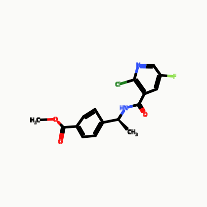 COC(=O)c1ccc([C@H](C)NC(=O)c2cc(F)cnc2Cl)cc1